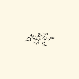 Cc1ccc(S(=O)(=O)Oc2nc(N)nc3c2ncn3[C@]2([SiH](C)C)C[C@H](OC(C)(C)C)[C@@H](COC(C)(C)C)O2)cc1